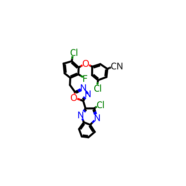 N#Cc1cc(Cl)cc(Oc2c(Cl)ccc(Cc3nnc(-c4nc5ccccc5nc4Cl)o3)c2F)c1